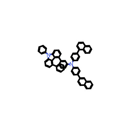 c1ccc(-c2cccc3c2c2c(-c4cccc(N(c5ccc(-c6ccc7ccccc7c6)cc5)c5ccc(-c6cccc7ccccc67)cc5)c4)cccc2n3-c2ccccc2)cc1